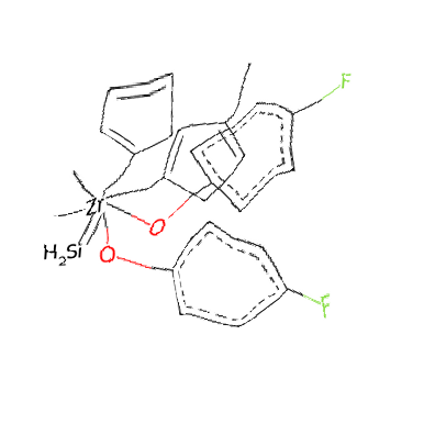 CC1=CC[C]([Zr]([CH3])([CH3])(=[SiH2])([O]c2ccc(F)cc2)([O]c2ccc(F)cc2)[C]2=CC=CC2)=C1